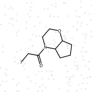 O=C(CI)N1CCOC2CCCC21